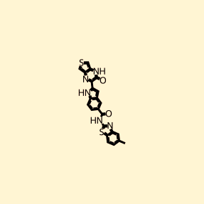 Cc1ccc2sc(NC(=O)c3ccc4[nH]c(-c5nc6cscc6[nH]c5=O)cc4c3)nc2c1